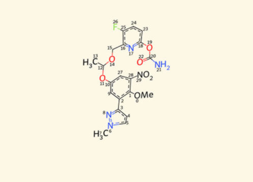 COc1c(-c2ccn(C)n2)cc(OC(C)OCc2nc(OC(N)=O)ccc2F)cc1[N+](=O)[O-]